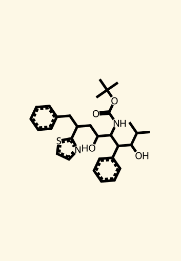 CC(C)C(O)C(c1ccccc1)C(NC(=O)OC(C)(C)C)C(O)CC(Cc1ccccc1)c1nccs1